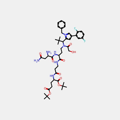 CC(C)(C)OC(=O)CCC(NC(=O)CCNC(=O)C(CCN(C(=O)CO)C(c1cc(-c2cc(F)ccc2F)cn1Cc1ccccc1)C(C)(C)C)NC(=O)C(N)CC(N)=O)C(=O)OC(C)(C)C